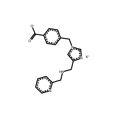 O=C([O-])c1ccc(Cn2cnc(CNCc3ccccn3)c2)cc1.[K+]